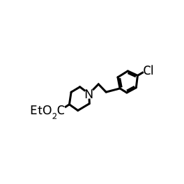 CCOC(=O)C1CCN(CCc2ccc(Cl)cc2)CC1